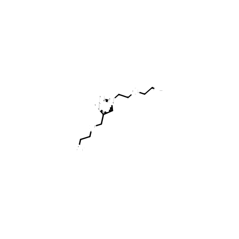 CC(=O)CCOCc1cn(CCOCC[18F])nn1